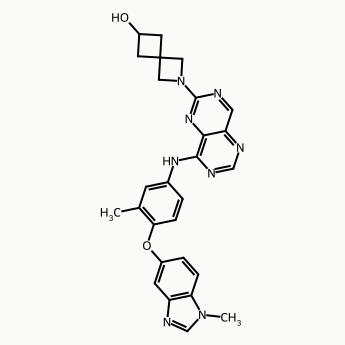 Cc1cc(Nc2ncnc3cnc(N4CC5(CC(O)C5)C4)nc23)ccc1Oc1ccc2c(c1)ncn2C